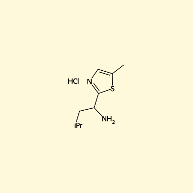 Cc1cnc(C(N)CC(C)C)s1.Cl